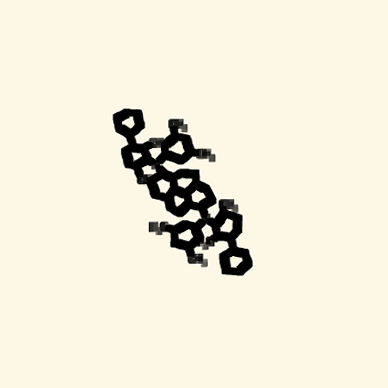 Cc1cc(C)cc(N(c2c(C)ccc(-c3ccccc3)c2C)c2ccc3ccc4c(N(c5cc(C)cc(C)c5)c5c(C)ccc(-c6ccccc6)c5C)ccc5ccc2c3c54)c1